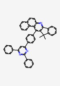 CC1(C)c2ccccc2-c2nc3ccc4ccccc4c3c(-c3ccc(-c4cc(-c5ccccc5)nc(-c5ccccc5)n4)cc3)c21